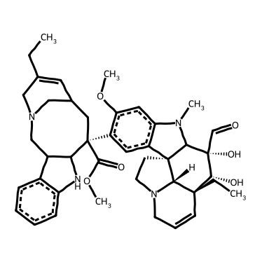 CCC1=CC2CN(C1)CC1c3ccccc3NC1[C@@](C(=O)OC)(c1cc3c(cc1OC)N(C)C1[C@]34CCN3CC=C[C@@](CC)([C@@H](O)[C@]1(O)C=O)[C@H]34)C2